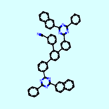 N#Cc1cccc(-c2cc(-c3cccc(-c4nc(-c5ccccc5)nc(-c5ccc6ccccc6c5)n4)c3)ccc2-c2cccc(-c3nc(-c4ccccc4)nc(-c4ccc5ccccc5c4)n3)c2)c1